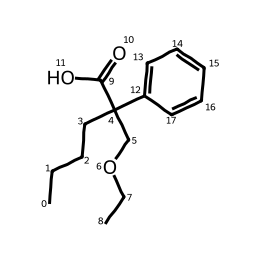 CCCCC(COCC)(C(=O)O)c1ccccc1